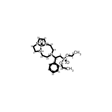 CCOP(=O)(CC(c1ccccc1)N1CCN2CCN3CCN(CC1)P23=O)OCC